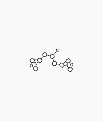 N#Cc1cc(-c2cccc(-c3ccc4c(c3)c3cccc5c3n4-c3ccccc3O5)c2)cc(-c2cccc(-c3ccc4c(c3)c3cccc5c3n4-c3ccccc3O5)c2)c1